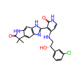 CC1(C)C(=O)Nc2cc3[nH]c(-c4c(NC[C@@H](O)c5cccc(Cl)c5)cc[nH]c4=O)nc3cc21